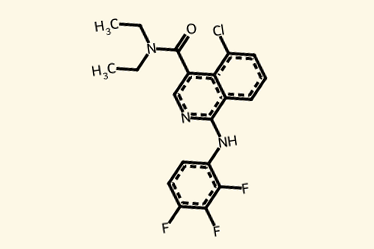 CCN(CC)C(=O)c1cnc(Nc2ccc(F)c(F)c2F)c2cccc(Cl)c12